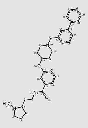 CN1CCCC1CCNC(=O)c1cccc(OC2CCN(Cc3cccc(-c4ccccc4)c3)CC2)c1